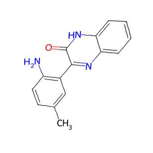 Cc1ccc(N)c(-c2nc3ccccc3[nH]c2=O)c1